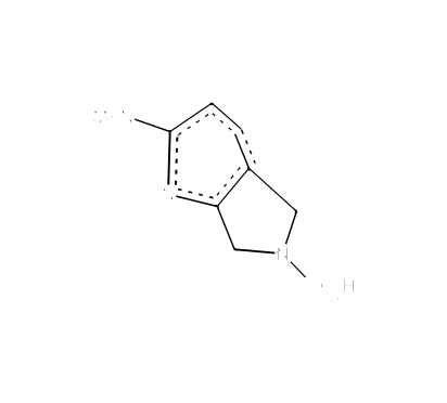 CNc1ccc2c(n1)CN(C(=O)O)C2